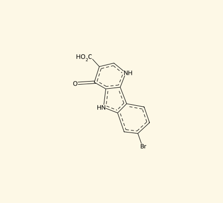 O=C(O)c1c[nH]c2c([nH]c3cc(Br)ccc32)c1=O